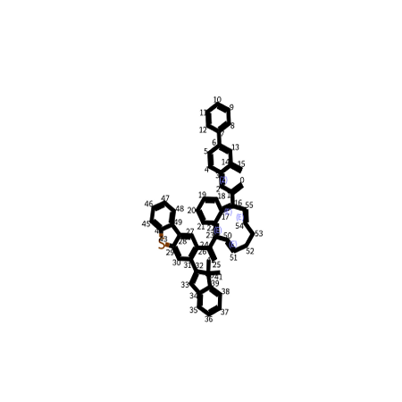 C=C(/C=c1/ccc(-c2ccccc2)cc1=C)C1=c2\cccc\c2=C(C(=C)c2cc3c(cc2C2=Cc4ccccc4C2(C)C)sc2ccccc23)\C=C\CC\C=C\1